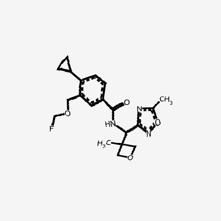 Cc1nc(C(NC(=O)c2ccc(C3CC3)c(COCF)c2)C2(C)COC2)no1